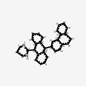 c1cnc(-c2c3ccccc3c(-c3ccc4ccc5ccccc5c4c3)c3ccccc23)nc1